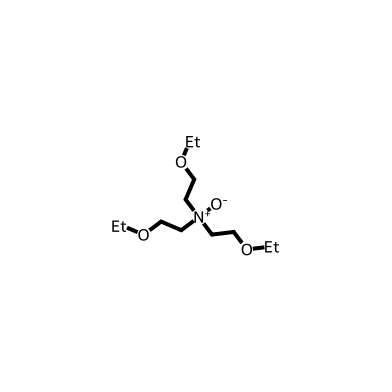 CCOCC[N+]([O-])(CCOCC)CCOCC